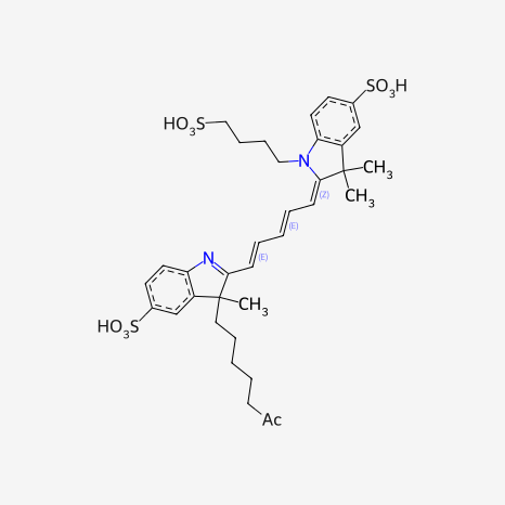 CC(=O)CCCCCC1(C)C(/C=C/C=C/C=C2\N(CCCCS(=O)(=O)O)c3ccc(S(=O)(=O)O)cc3C2(C)C)=Nc2ccc(S(=O)(=O)O)cc21